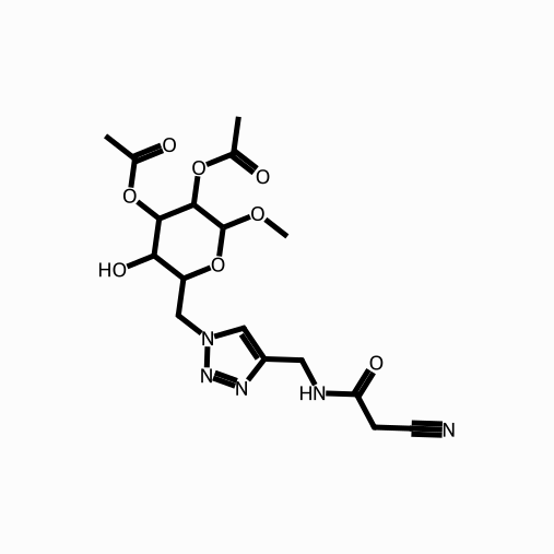 COC1OC(Cn2cc(CNC(=O)CC#N)nn2)C(O)C(OC(C)=O)C1OC(C)=O